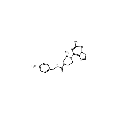 Cc1ccc(CNC(=O)N2CCN(c3nc(N)nc4scnc34)[C@@H](C)C2)cc1